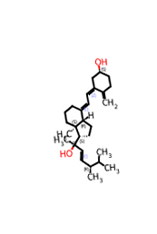 C=C1CC[C@H](O)C/C1=C/C=C1\CCC[C@@]2(C)[C@H]1CC[C@@H]2[C@@](C)(O)/C=C/[C@H](C)C(C)C